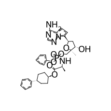 C[C@H](NP(=O)(OC[C@@]1(C)O[C@@H](c2ccc3c(N)ncnn23)C[C@@H]1O)Oc1ccccc1)C(=O)O[C@H]1CC[C@H](c2ccccc2)CC1